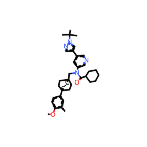 COc1ccc(C23CCC(CN(C(=O)C4CCCCC4)c4cncc(-c5cnn(C(C)(C)C)c5)c4)(CC2)CC3)cc1C